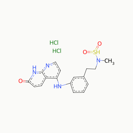 CN(CCc1cccc(Nc2ccnc3[nH]c(=O)ccc23)c1)[SH](=O)=O.Cl.Cl